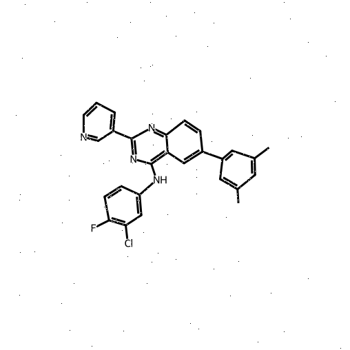 Cc1cc(C)cc(-c2ccc3nc(-c4cccnc4)nc(Nc4ccc(F)c(Cl)c4)c3c2)c1